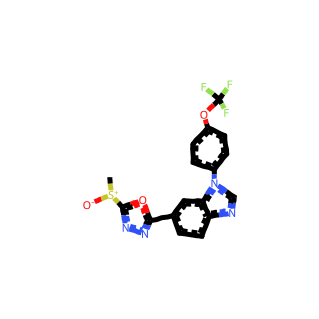 C[S+]([O-])c1nnc(-c2ccc3ncn(-c4ccc(OC(F)(F)F)cc4)c3c2)o1